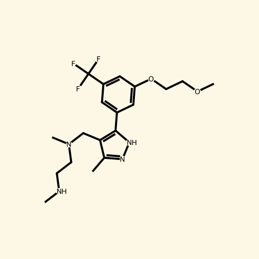 CNCCN(C)Cc1c(C)n[nH]c1-c1cc(OCCOC)cc(C(F)(F)F)c1